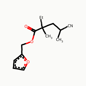 CCC(C)(CC(C)C#N)C(=O)OCc1ccco1